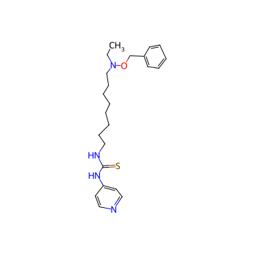 CCN(CCCCCCCCNC(=S)Nc1ccncc1)OCc1ccccc1